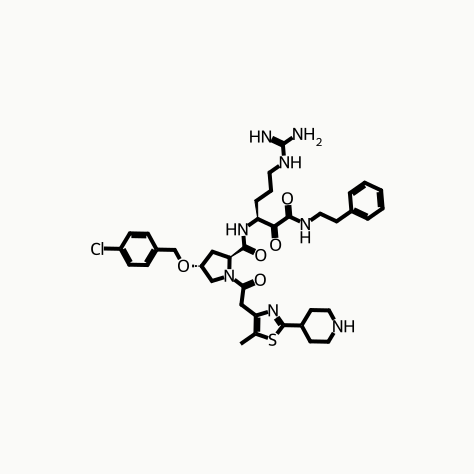 Cc1sc(C2CCNCC2)nc1CC(=O)N1C[C@H](OCc2ccc(Cl)cc2)C[C@H]1C(=O)N[C@@H](CCCNC(=N)N)C(=O)C(=O)NCCc1ccccc1